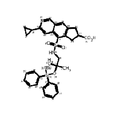 CC(C)(CNS(=O)(=O)c1c2c(cc3cnc(C4CC4)cc13)CC(C(=O)O)C2)O[Si](c1ccccc1)(c1ccccc1)C(C)(C)C